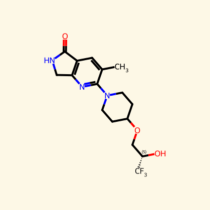 Cc1cc2c(nc1N1CCC(OC[C@H](O)C(F)(F)F)CC1)CNC2=O